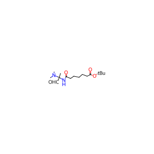 CN(C)[C@@](C)(C=O)NC(=O)CCCCCC(=O)OC(C)(C)C